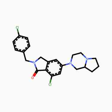 O=C1c2c(Cl)cc(N3CCN4CCCC4C3)cc2CN1Cc1ccc(Cl)cc1